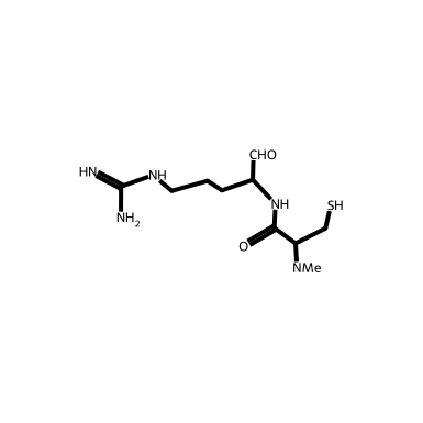 CNC(CS)C(=O)NC(C=O)CCCNC(=N)N